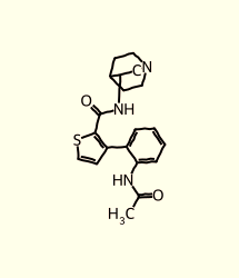 CC(=O)Nc1ccccc1-c1ccsc1C(=O)NC1CN2CCC1CC2